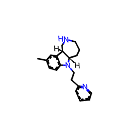 Cc1ccc2c(c1)[C@@H]1CNCCC[C@@H]1N2CCc1ccccn1